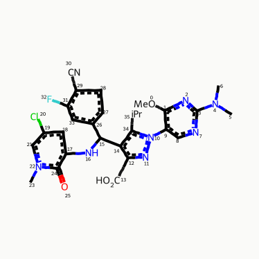 COc1nc(N(C)C)ncc1-n1nc(C(=O)O)c(C(Nc2cc(Cl)cn(C)c2=O)c2ccc(C#N)c(F)c2)c1C(C)C